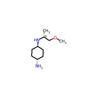 COC[C@@H](C)N[C@H]1CC[C@H](N)CC1